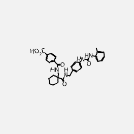 Cc1ccccc1NC(=O)Nc1ccc(CNC(=O)C2(CNC(=O)c3ccc(C(=O)O)cc3)CCCCC2)cc1